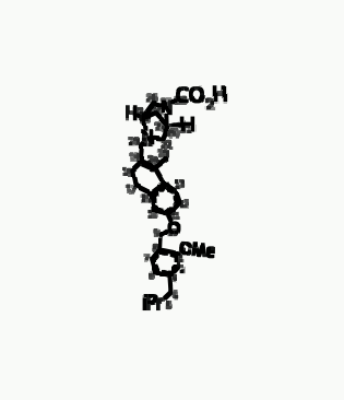 COc1cc(CC(C)C)ccc1COc1ccc2c(c1)CCC(CN1C[C@@H]3C[C@H]1CN3C(=O)O)=C2C